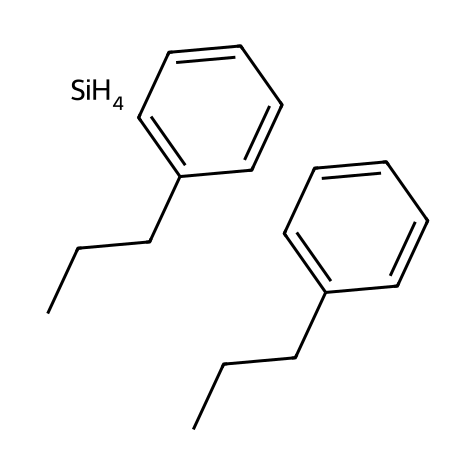 CCCc1ccccc1.CCCc1ccccc1.[SiH4]